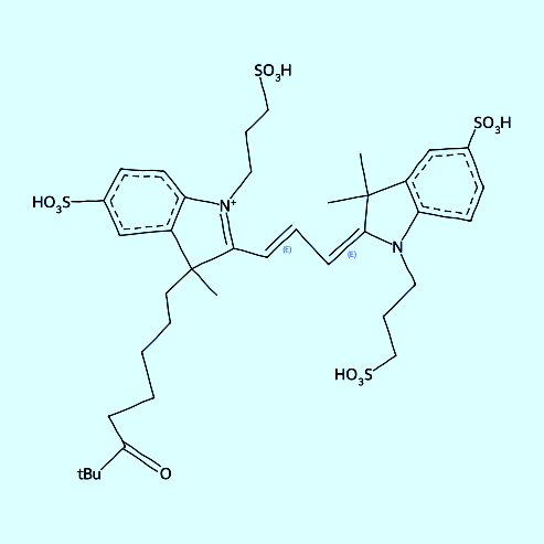 CC(C)(C)C(=O)CCCCCC1(C)C(/C=C/C=C2/N(CCCS(=O)(=O)O)c3ccc(S(=O)(=O)O)cc3C2(C)C)=[N+](CCCS(=O)(=O)O)c2ccc(S(=O)(=O)O)cc21